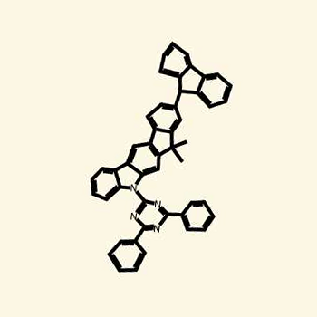 CC1(C)c2cc(C3c4ccccc4-c4ccccc43)ccc2-c2cc3c4ccccc4n(-c4nc(-c5ccccc5)nc(-c5ccccc5)n4)c3cc21